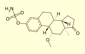 CO[C@H]1C[C@]2(C)C(=O)CC[C@H]2[C@@H]2CCc3cc(OS(N)(=O)=O)ccc3[C@H]21